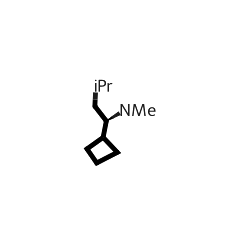 CN[C@H](CC(C)C)C1CCC1